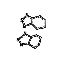 c1ccc2nsnc2c1.c1ccc2nsnc2c1